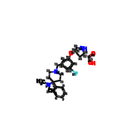 CN(C)C1(c2ccccc2)CCN(Cc2cc(F)cc(O[C@@H]3CN[C@H](C(=O)O)C3)c2)CC1